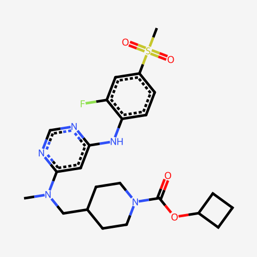 CN(CC1CCN(C(=O)OC2CCC2)CC1)c1cc(Nc2ccc(S(C)(=O)=O)cc2F)ncn1